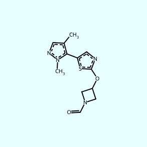 Cc1cnn(C)c1-c1cnc(OC2CN(C=O)C2)s1